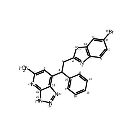 Nc1cc(C(Cc2nc3ccc(Br)cc3s2)c2ccccc2)c2nn[nH]c2n1